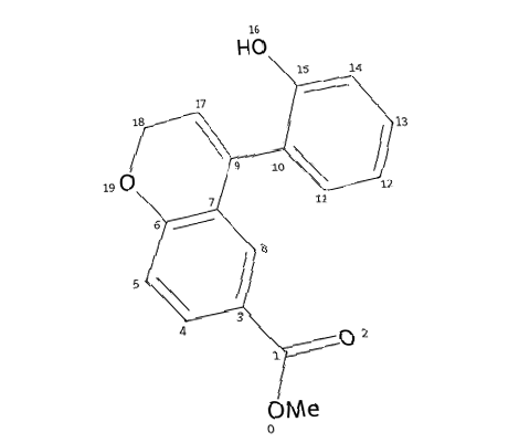 COC(=O)c1ccc2c(c1)C(c1ccccc1O)=CCO2